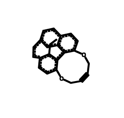 CCc1c2ccc3c1c1c(ccc4ccc(cc2)cc41)OCC#CCO3